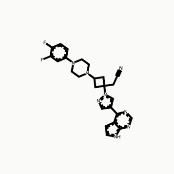 N#CCC1(n2cc(-c3ncnc4[nH]ccc34)cn2)CC(N2CCN(c3ccc(F)c(F)c3)CC2)C1